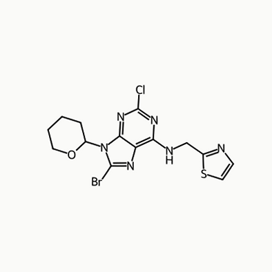 Clc1nc(NCc2nccs2)c2nc(Br)n(C3CCCCO3)c2n1